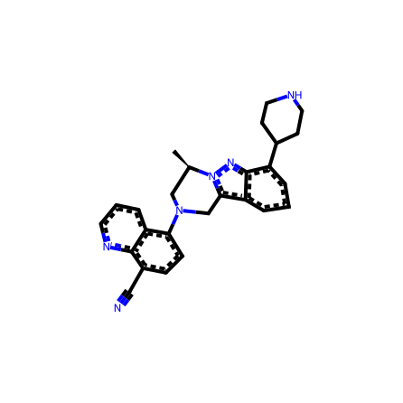 C[C@@H]1CN(c2ccc(C#N)c3ncccc23)Cc2c3cccc(C4CCNCC4)c3nn21